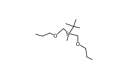 CCCOC[Si](C)(COCCC)C(C)(C)C